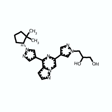 CC1(C)CCC[C@H]1n1cc(-c2nc(-c3cnn(CC(O)CO)c3)cn3nccc23)cn1